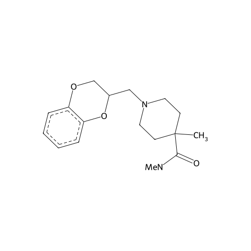 CNC(=O)C1(C)CCN(CC2COc3ccccc3O2)CC1